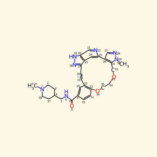 CN1CCC(CNC(=O)c2ccc3c(c2)/C=C/c2n[nH]c4cnc(cc24)-c2cnn(C)c2COCCO3)CC1